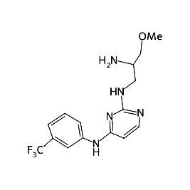 COCC(N)CNc1nccc(Nc2cccc(C(F)(F)F)c2)n1